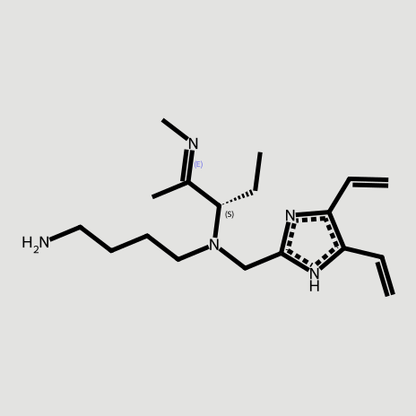 C=Cc1nc(CN(CCCCN)[C@@H](CC)/C(C)=N/C)[nH]c1C=C